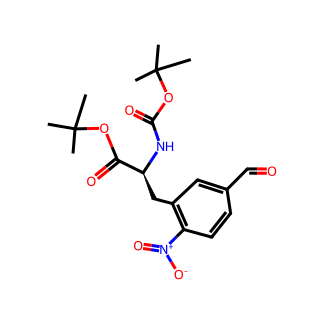 CC(C)(C)OC(=O)N[C@@H](Cc1cc(C=O)ccc1[N+](=O)[O-])C(=O)OC(C)(C)C